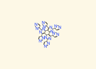 c1cc(-c2nc(-c3ccncn3)c3c(n2)c2c(-c4ccncn4)nc(-c4ccncn4)nc2c2c(-c4ccncn4)nc(-c4ccncn4)nc32)ncn1